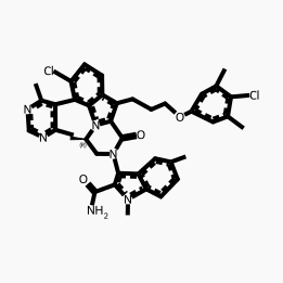 Cc1ccc2c(c1)c(N1C[C@@H](C)n3c(c(CCCOc4cc(C)c(Cl)c(C)c4)c4ccc(Cl)c(-c5c(C)ncnc5C)c43)C1=O)c(C(N)=O)n2C